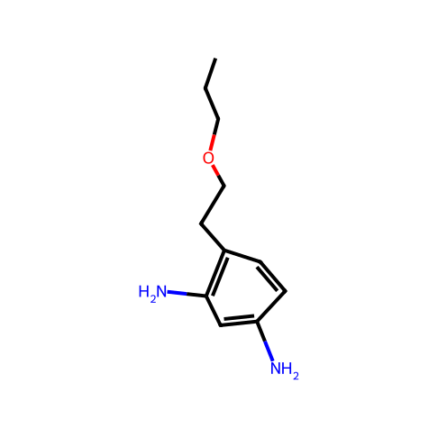 CCCOCCc1ccc(N)cc1N